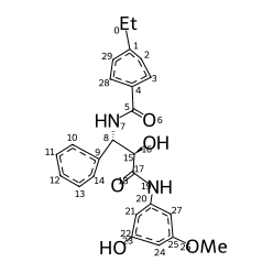 CCc1ccc(C(=O)N[C@@H](c2ccccc2)[C@@H](O)C(=O)Nc2cc(O)cc(OC)c2)cc1